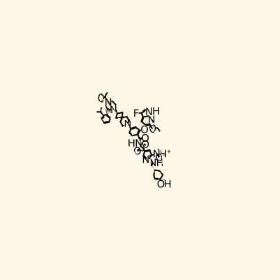 CCOc1nc2[nH]cc(F)c2cc1Oc1cc(N2CCC3(CC2)CC(N2CCN(C(C)=O)C[C@H]2c2ccccc2C(C)C)C3)ccc1C(=O)NS(=O)(=O)c1cnc(NC[C@H]2CC[C@](C)(O)CC2)c([NH+](C)[O-])c1